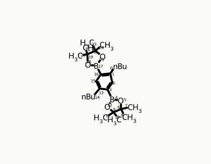 CCCCc1cc(B2OC(C)(C)C(C)(C)O2)c(CCCC)cc1B1OC(C)(C)C(C)(C)O1